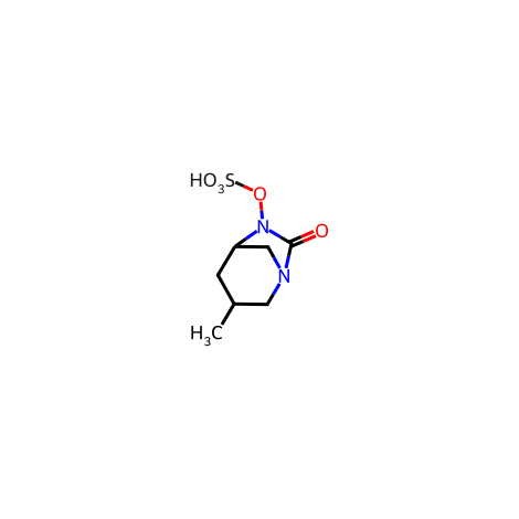 CC1CC2CN(C1)C(=O)N2OS(=O)(=O)O